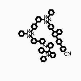 N#Cc1ccc(-c2ccc(-c3ccc(-c4ccc(-c5nc(-c6ccccc6)nc(-c6cccc(-c7ccc(-c8nc(-c9ccccc9)nc(-c9cccc(-c%10cccc(N%11c%12ccccc%12-c%12c(n(-c%13ccccc%13)c%13ccccc%12%13)-c%12ccccc%12%11)c%10)c9)n8)cc7)c6)n5)cc4)c4ccccc34)cc2)cc1